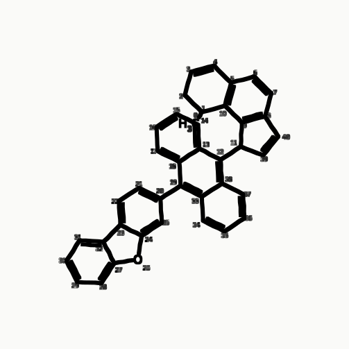 CC1CC=Cc2ccc3c(c21)C(c1c2ccccc2c(-c2ccc4c(c2)oc2ccccc24)c2ccccc12)C=C3